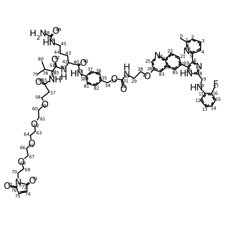 Cc1cccc(-c2nc(CNc3ccccc3F)[nH]c2-c2ccc3ncc(OCCNC(=O)OCc4ccc(NC(=O)C(CCCNC(N)=O)NC(=O)[C@@H](NC(=O)CCOCCOCCOCCOCCN5C(=O)C=CC5=O)C(C)C)cc4)cc3c2)n1